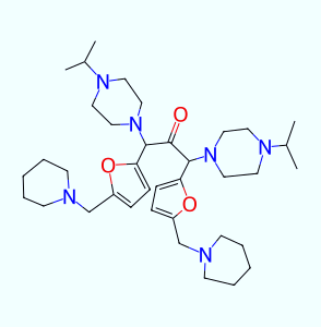 CC(C)N1CCN(C(C(=O)C(c2ccc(CN3CCCCC3)o2)N2CCN(C(C)C)CC2)c2ccc(CN3CCCCC3)o2)CC1